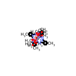 Cc1ccc2c(c1)C1=NC/2=N\c2c3cc(C)ccc3c3n2[Si](OS(=O)(=O)N(C(C)C)C(C)C)(OS(=O)(=O)N(C(C)C)C(C)C)n2/c(c4ccc(C)cc4/c2=N/C2=NC(=N\3)/c3cc(C)ccc32)=N\1